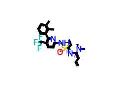 C=C/C=C(\N=C(/CC)[S+]([O-])Nc1ccc(C(F)(F)F)c(-c2cccc(C)c2C)n1)N(C)C